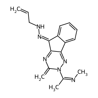 C=CCNN=C1C2=NC(=C)N(/C(C)=N\C)N=C2c2ccccc21